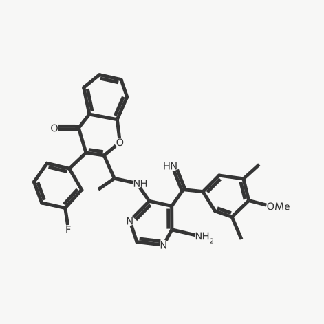 COc1c(C)cc(C(=N)c2c(N)ncnc2NC(C)c2oc3ccccc3c(=O)c2-c2cccc(F)c2)cc1C